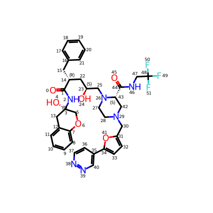 O=C(N[C@@]1(O)COc2ccccc2C1)[C@H](Cc1ccccc1)C[C@H](O)CN1CCN(Cc2ccc(-c3ccnnc3)o2)C[C@H]1C(=O)NCC(F)(F)F